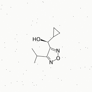 CC(C)c1nonc1[C@@H](O)C1CC1